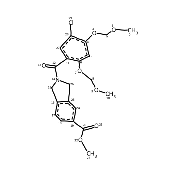 COCOc1cc(OCOC)c(C(=O)N2Cc3ccc(C(=O)OC)cc3C2)cc1Cl